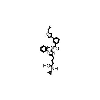 O=C(Nc1nc(CCCC(O)NC2CC2)cn1-c1ccccc1)c1cccc(-c2cnn(CF)c2)c1